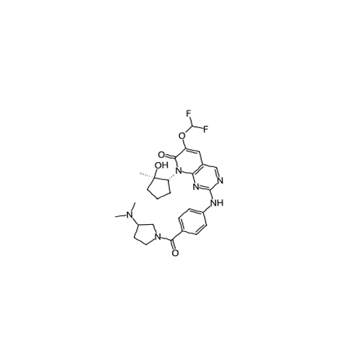 CN(C)C1CCN(C(=O)c2ccc(Nc3ncc4cc(OC(F)F)c(=O)n([C@@H]5CCC[C@@]5(C)O)c4n3)cc2)C1